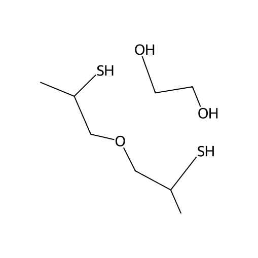 CC(S)COCC(C)S.OCCO